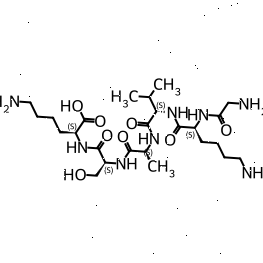 CC(C)[C@H](NC(=O)[C@H](CCCCN)NC(=O)CN)C(=O)N[C@@H](C)C(=O)N[C@@H](CO)C(=O)N[C@@H](CCCCN)C(=O)O